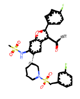 CNC(=O)c1c(-c2ccc(F)cc2)oc2cc(NS(C)(=O)=O)c([C@H]3CCCN(S(=O)(=O)Cc4cccc(F)c4)C3)cc12